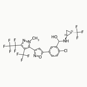 Cn1nc(C(F)(F)C(F)(F)F)c(C(F)(F)F)c1-c1cc(-c2ccc(Cl)c(C(O)N[C@H]3C[C@@H]3C(F)(F)F)c2)on1